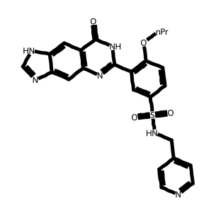 CCCOc1ccc(S(=O)(=O)NCc2ccncc2)cc1-c1nc2cc3nc[nH]c3cc2c(=O)[nH]1